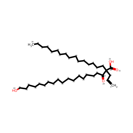 C=CCC(CCCCCCCCCCCCCCCC)(C(=O)O)C(=O)CCCCCCCCCCCCCCCCCO